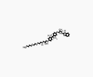 CC(CNc1nc2ccccc2[nH]1)COc1ccc(C(C)(C)c2ccc(OCC(O)CNCCCOCCOCCCCO)cc2)cc1